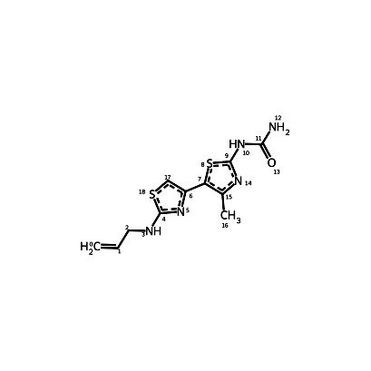 C=CCNc1nc(-c2sc(NC(N)=O)nc2C)cs1